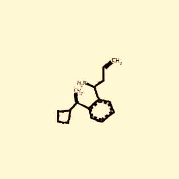 C=CCC(N)c1ccccc1C(=C)C1CCC1